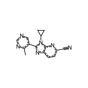 Cc1ncncc1-c1nc2ccc(C#N)nc2n1C1CC1